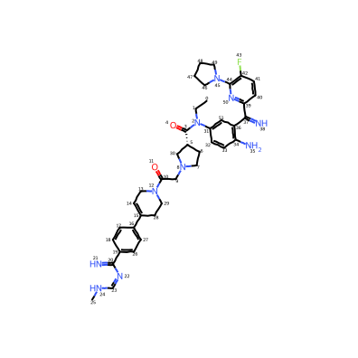 CCN(C(=O)[C@@H]1CCN(CC(=O)N2CC=C(c3ccc(C(=N)/N=C\NC)cc3)CC2)C1)c1ccc(N)c(C(=N)c2ccc(F)c(N3CCCC3)n2)c1